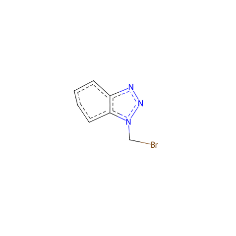 BrCn1nnc2ccccc21